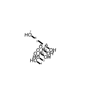 CC.CO.CO.CO.O=[N+]([O-])O.O=[N+]([O-])O.O=[N+]([O-])O